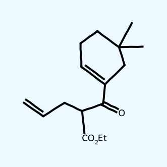 C=CCC(C(=O)OCC)C(=O)C1=CCCC(C)(C)C1